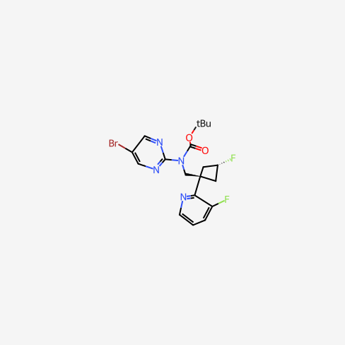 CC(C)(C)OC(=O)N(C[C@]1(c2ncccc2F)C[C@@H](F)C1)c1ncc(Br)cn1